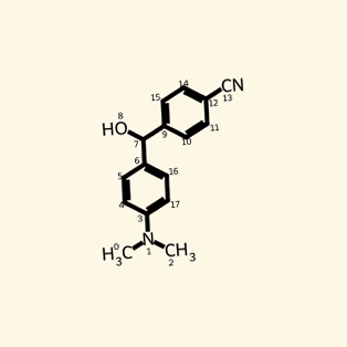 CN(C)c1ccc(C(O)c2ccc(C#N)cc2)cc1